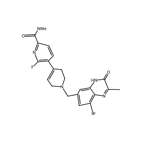 CNC(=O)c1ccc(C2=CCN(Cc3cc(Br)c4nc(C)c(=O)[nH]c4c3)CC2)c(F)n1